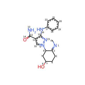 C/N=C1/CCC(O)CC1n1cc(C(N)=O)c(Nc2ccccc2)n1